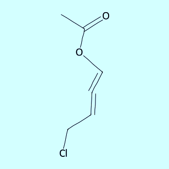 CC(=O)OC=C=CCCl